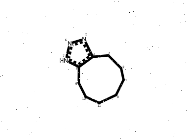 C1CCCc2nn[nH]c2CCC1